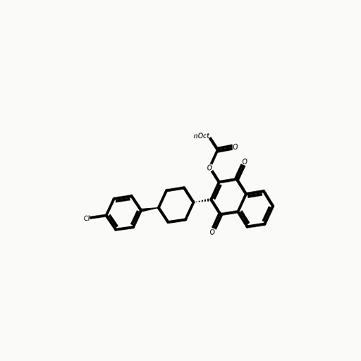 CCCCCCCCC(=O)OC1=C([C@H]2CC[C@H](c3ccc(Cl)cc3)CC2)C(=O)c2ccccc2C1=O